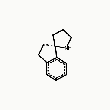 c1ccc2c(c1)CC[C@@]21CCCN1